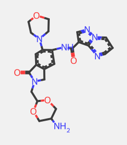 NC1COC(CN2Cc3cc(NC(=O)c4cnn5cccnc45)c(N4CCOCC4)cc3C2=O)OC1